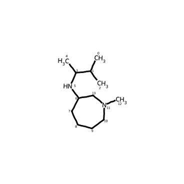 CC(C)C(C)NC1CCCCN(C)C1